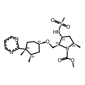 COC(=O)N1[C@H](C)C[C@H](NS(C)(=O)=O)[C@@H]1CO[C@@H]1CC[C@@](C)(c2ncccn2)[C@H](C)C1